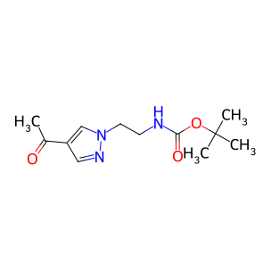 CC(=O)c1cnn(CCNC(=O)OC(C)(C)C)c1